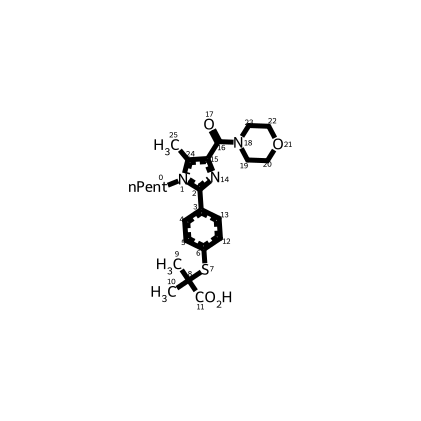 CCCCCn1c(-c2ccc(SC(C)(C)C(=O)O)cc2)nc(C(=O)N2CCOCC2)c1C